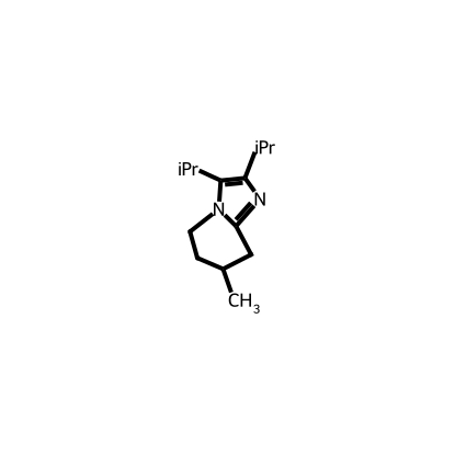 CC1CCn2c(nc(C(C)C)c2C(C)C)C1